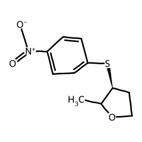 CC1OCC[C@@H]1Sc1ccc([N+](=O)[O-])cc1